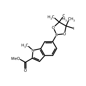 COC(=O)c1cc2ccc(B3OC(C)(C)C(C)(I)O3)cc2n1C